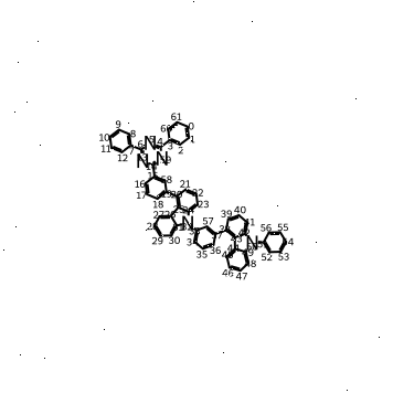 c1ccc(-c2nc(-c3ccccc3)nc(-c3cccc(-c4cccc5c4c4ccccc4n5-c4cccc(-c5cccc6c5c5ccccc5n6-c5ccccc5)c4)c3)n2)cc1